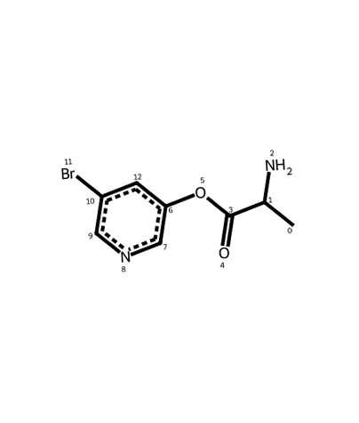 CC(N)C(=O)Oc1cncc(Br)c1